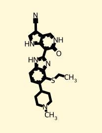 CCSc1c(C2CCN(C)CC2)ccc2[nH]c(-c3c(=O)[nH]cc4c(C#N)c[nH]c34)nc12